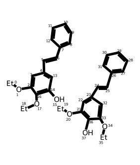 CCOc1cc(C=Cc2ccccc2)cc(O)c1OCC.CCOc1cc(C=Cc2ccccc2)cc(OCC)c1O